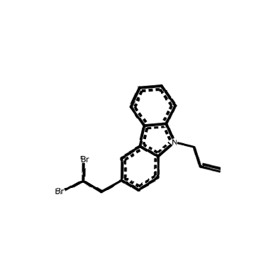 C=CCn1c2ccccc2c2cc(CC(Br)Br)ccc21